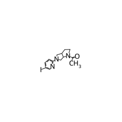 CC(=O)N1CCC2CN(c3ccc(I)cn3)CC21